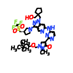 Cn1c(=O)c(-c2nccc(Nc3cc4c(cn3)c(N3CC[C@H](CS(=O)(=O)C(F)(F)F)C3)nn4CC3(CO)CCCC3)n2)cn1COCC[Si](C)(C)C